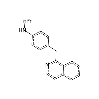 CCCNc1ccc(Cc2nccc3ccccc23)cc1